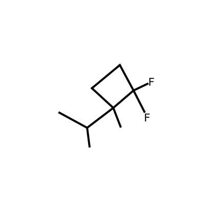 CC(C)C1(C)CCC1(F)F